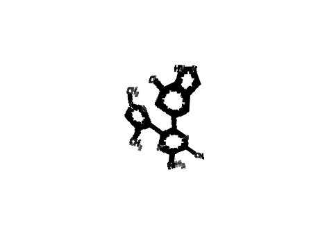 Cc1cn(C)nc1-c1nc(N)c(C#N)nc1-c1cc(Cl)c2[nH]ncc2c1